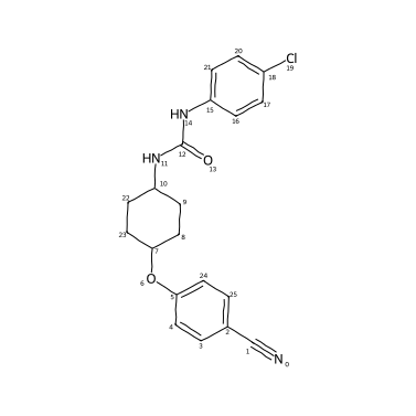 N#Cc1ccc(OC2CCC(NC(=O)Nc3ccc(Cl)cc3)CC2)cc1